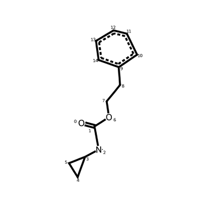 O=C([N]C1CC1)OCCc1ccccc1